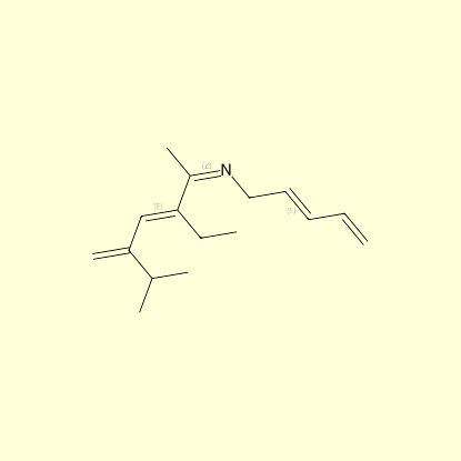 C=C/C=C/C/N=C(C)\C(=C\C(=C)C(C)C)CC